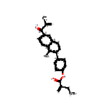 C=C(COC)C(=O)Oc1ccc(-c2ccc3cc(C(=O)C(=C)C(F)(F)F)ccc3c2CC)cc1